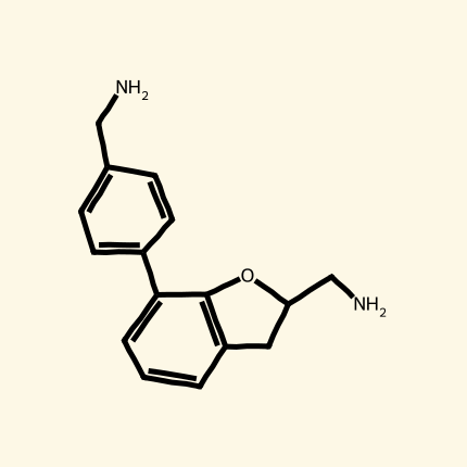 NCc1ccc(-c2cccc3c2OC(CN)C3)cc1